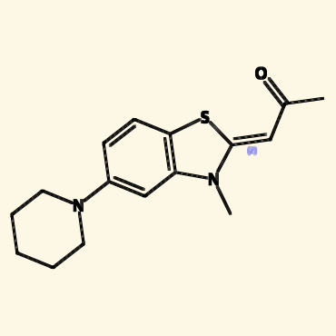 CC(=O)/C=C1\Sc2ccc(N3CCCCC3)cc2N1C